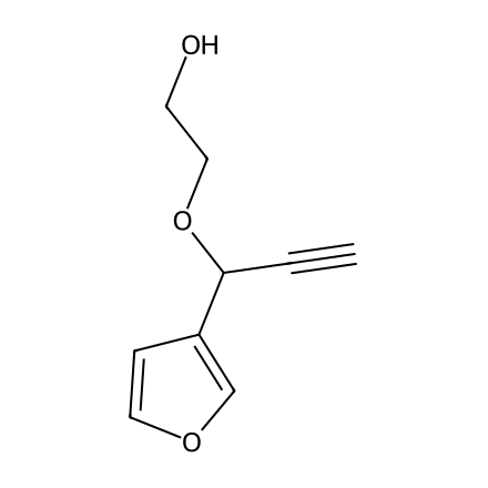 C#CC(OCCO)c1ccoc1